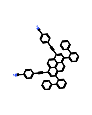 N#Cc1ccc(C#Cc2cc(-c3ccccc3-c3ccccc3)c3ccc4c(-c5ccccc5-c5ccccc5)cc(C#Cc5ccc(C#N)cc5)c5ccc2c3c54)cc1